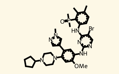 COc1cc(N2CCN(C3CCCC3)CC2)c(-c2cnn(C)c2)cc1Nc1ncc(Br)c(Nc2ccc(C)c(C)c2P(C)(C)=O)n1